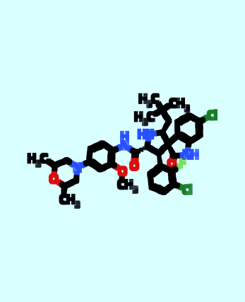 COc1cc(N2CC(C)OC(C)C2)ccc1NC(=O)[C@@H]1N[C@@H](CC(C)(C)C)[C@@]2(C(=O)Nc3cc(Cl)ccc32)[C@H]1c1cccc(Cl)c1F